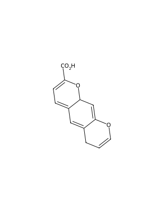 O=C(O)C1=CC=C2C=C3CC=COC3=CC2O1